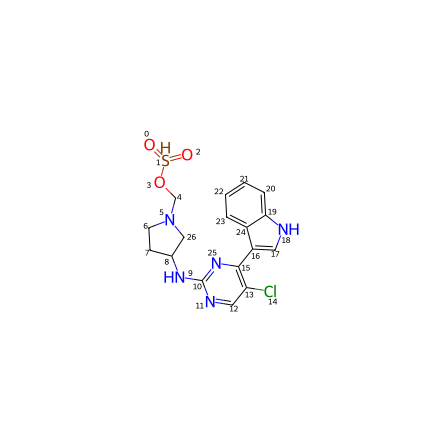 O=[SH](=O)OCN1CCC(Nc2ncc(Cl)c(-c3c[nH]c4ccccc34)n2)C1